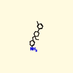 CCC1(Cc2ccc(N)cc2)CCC(c2cccc(C)c2)CC1